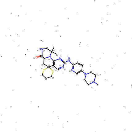 CN1CCN(c2ccc(Nc3ncc4c(n3)N3C(CC45SCCCS5)C(=O)NCC3(C)C)nc2)CC1